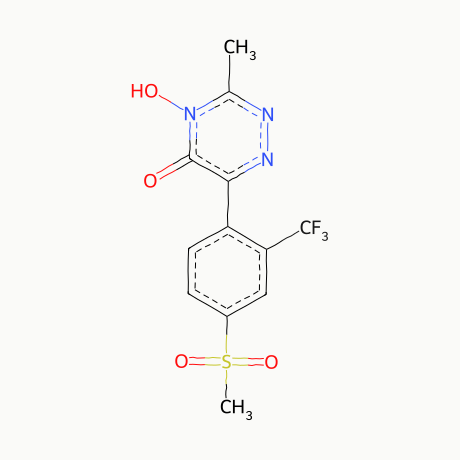 Cc1nnc(-c2ccc(S(C)(=O)=O)cc2C(F)(F)F)c(=O)n1O